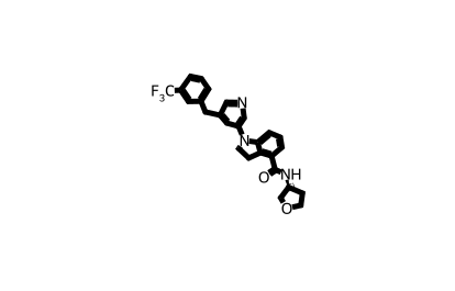 O=C(N[C@H]1CCOC1)c1cccc2c1CCN2c1cncc(Cc2cccc(C(F)(F)F)c2)c1